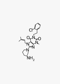 CC(C)=CCn1c(N2CCCC(N)C2)nc2c1c(=O)n(CCc1ccccc1Cl)c(=O)n2C